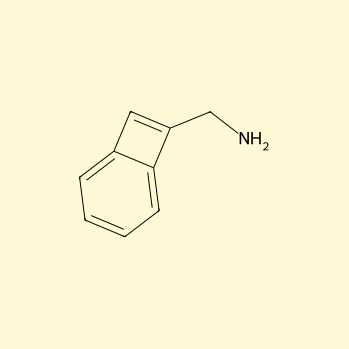 NCC1=Cc2ccccc21